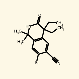 CCC1(CC)C(=O)NC(C)(C)c2cc(Br)c(C#N)cc21